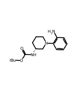 CC(C)(C)OC(=O)N[C@@H]1CCCN(c2ccc[c]c2N)C1